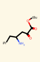 CC(C)CC(N)CC(=O)C(=O)OC(C)(C)C